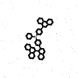 c1ccc(N(c2ccc(-c3ccc4ccccc4c3-c3cc4ccccc4c4ccccc34)cc2)c2ccc(-c3cc4ccccc4c4ccccc34)cc2)cc1